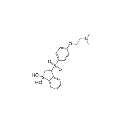 CN(C)CCOc1ccc(S(=O)(=O)C2CS(O)(O)c3ccccc32)cc1